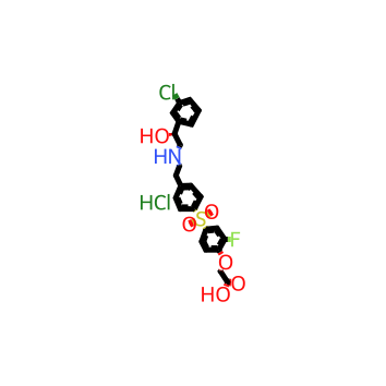 Cl.O=C(O)COc1ccc(S(=O)(=O)c2ccc(CCNC[C@@H](O)c3cccc(Cl)c3)cc2)cc1F